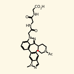 CC(=O)N1CCC(c2nn(CC(=O)NCC(=O)NCC(=O)O)c3cccc(-c4cc5c(cnn5C)cc4C)c23)CC1